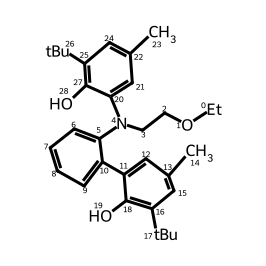 CCOCCN(c1ccccc1-c1cc(C)cc(C(C)(C)C)c1O)c1cc(C)cc(C(C)(C)C)c1O